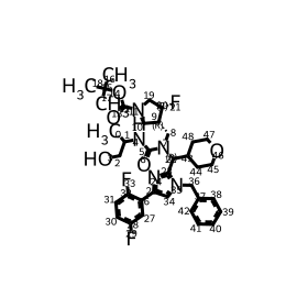 CC(CO)NC(=O)N(C[C@@H]1CN(C(=O)OC(C)(C)C)C[C@@H]1F)[C@@H](c1nc(-c2cc(F)ccc2F)cn1Cc1ccccc1)C1CCOCC1